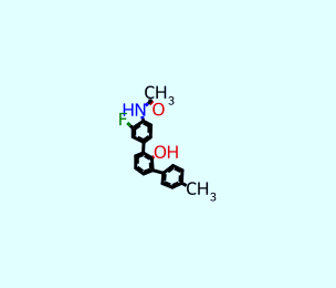 CC(=O)Nc1ccc(-c2cccc(-c3ccc(C)cc3)c2O)cc1F